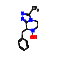 ON1CCn2c(nnc2C(F)(F)F)C1Cc1ccccc1